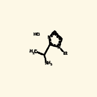 CCn1ccnc1C(C)N.Cl